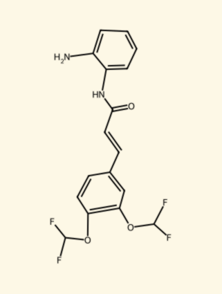 Nc1ccccc1NC(=O)C=Cc1ccc(OC(F)F)c(OC(F)F)c1